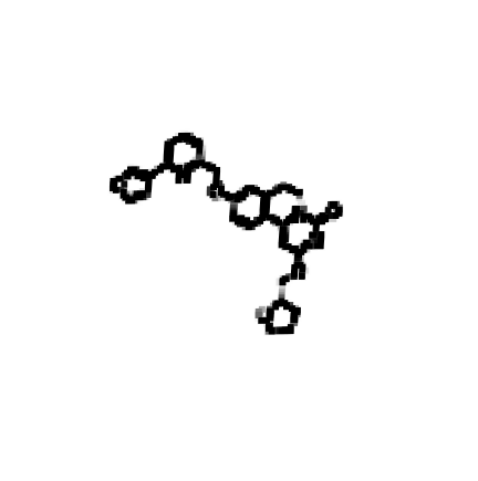 O=c1nc(OCC2CCCO2)cc2n1CCc1cc(OCc3cccc(-c4ccoc4)n3)ccc1-2